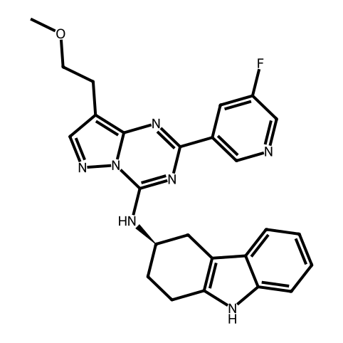 COCCc1cnn2c(N[C@@H]3CCc4[nH]c5ccccc5c4C3)nc(-c3cncc(F)c3)nc12